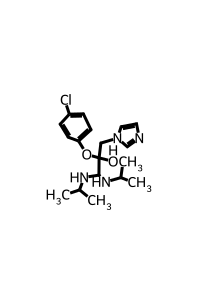 CC(C)NC(NC(C)C)C(O)(Cn1ccnc1)Oc1ccc(Cl)cc1